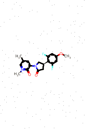 COc1cc(F)c([C@H]2CC(=O)N(c3cc(C)cn(C)c3=O)C2)c(F)c1